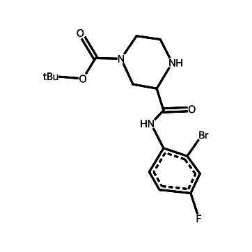 CC(C)(C)OC(=O)N1CCNC(C(=O)Nc2ccc(F)cc2Br)C1